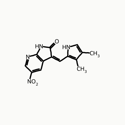 Cc1c[nH]c(C=C2C(=O)Nc3ncc([N+](=O)[O-])cc32)c1C